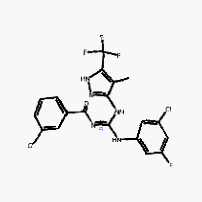 Cc1c(N/C(=N\C(=O)c2cccc(Cl)c2)Nc2cc(F)cc(Cl)c2)n[nH]c1C(F)(F)F